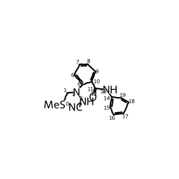 CSCN(NC#N)c1ccccc1C(=O)Nc1ccccc1